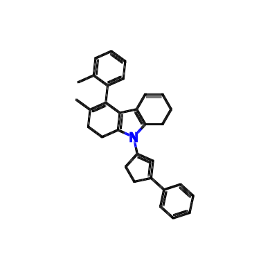 CC1=C(c2ccccc2C)c2c3c(n(C4=C=C(c5ccccc5)CC4)c2CC1)CCC=C3